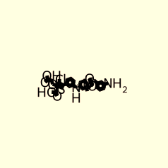 CC1(C)C[C@@H](Nc2cccc(-c3sc(C(=O)O)c(OCC(=O)O)c3Cl)c2)CCN1S(=O)(=O)Cc1cccc(N)c1